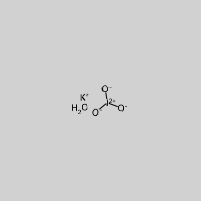 O.[K+].[O-][I+2]([O-])[O-]